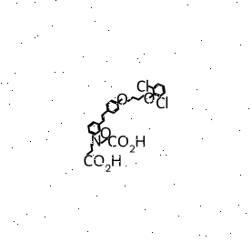 O=C(O)CCCN1CC(C(=O)O)Oc2c(C=Cc3ccc(OCCCCOc4c(Cl)cccc4Cl)cc3)cccc21